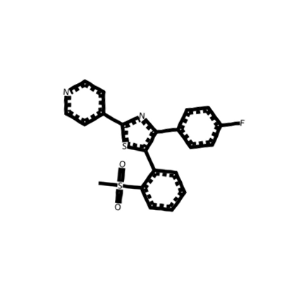 CS(=O)(=O)c1ccccc1-c1sc(-c2ccncc2)nc1-c1ccc(F)cc1